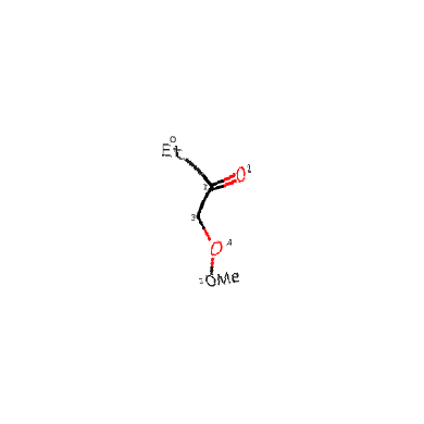 CCC(=O)COOC